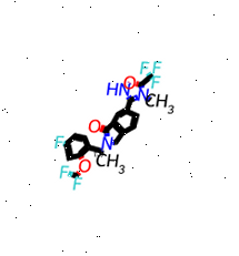 C[C@@H](c1ccc(F)cc1OC(F)F)N1Cc2ccc(C3NOC(C(F)(F)F)N3C)cc2C1=O